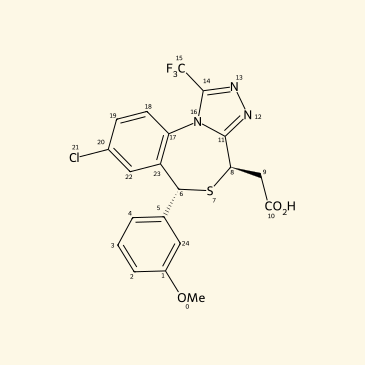 COc1cccc([C@H]2S[C@H](CC(=O)O)c3nnc(C(F)(F)F)n3-c3ccc(Cl)cc32)c1